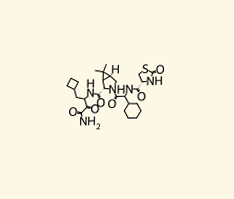 CC1(C)C2[C@@H](C(=O)NC(CC3CCC3)C(=O)C(N)=O)N(C(=O)[C@@H](NC(=O)[C@@H]3CSC(=O)N3)C3CCCCC3)C[C@@H]21